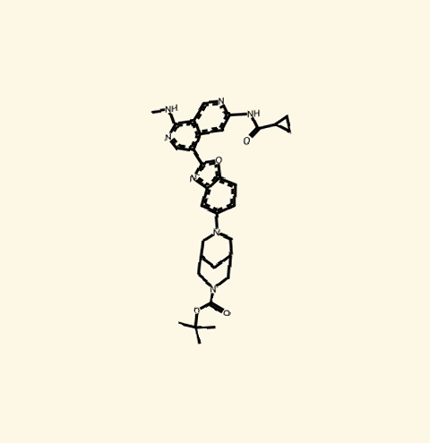 CNc1ncc(-c2nc3cc(N4CC5CC(CN(C(=O)OC(C)(C)C)C5)C4)ccc3o2)c2cc(NC(=O)C3CC3)ncc12